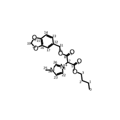 CCCCOC(=O)C(C(=O)OCc1ccc2c(c1)OCO2)[n+]1ccn(C)c1